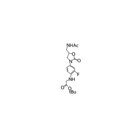 CC(=O)NCC1CN(c2ccc(NCC(=O)OC(C)(C)C)c(F)c2)C(=O)O1